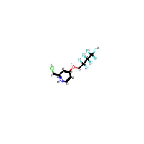 FC(F)(F)C(F)(F)C(F)(F)COc1ccnc(CCl)c1